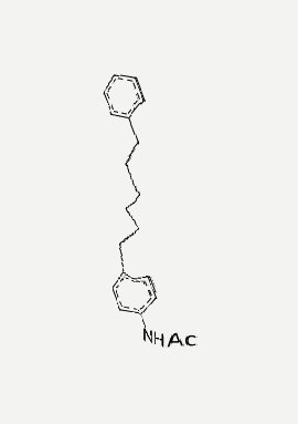 CC(=O)Nc1ccc(CCCCCCc2ccccc2)cc1